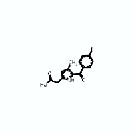 Cc1cc(CC(=O)O)[nH]c1C(=O)c1ccc(F)cc1